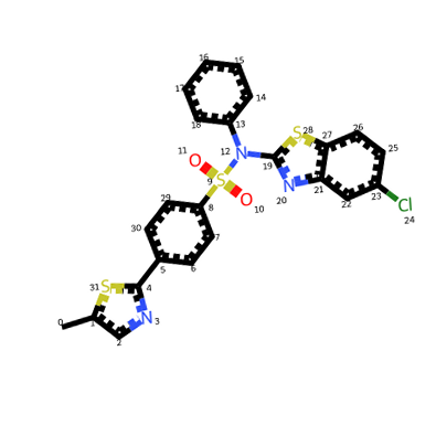 Cc1cnc(-c2ccc(S(=O)(=O)N(c3ccccc3)c3nc4cc(Cl)ccc4s3)cc2)s1